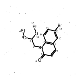 CCOC(Cn1c(=O)ccc2cc(Br)ccc21)OCC